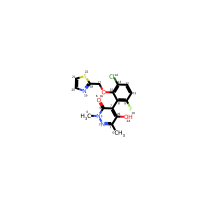 Cc1nn(C)c(=O)c(-c2c(F)ccc(Cl)c2OCc2nccs2)c1O